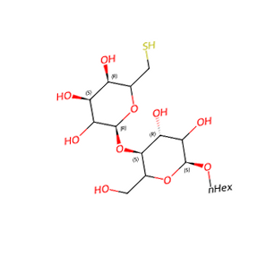 CCCCCCO[C@H]1OC(CO)[C@@H](O[C@@H]2OC(CS)[C@H](O)[C@H](O)C2O)[C@H](O)C1O